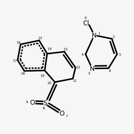 ClN1C=CC=NC1.O=S(=O)=C1CC=Cc2ccccc21